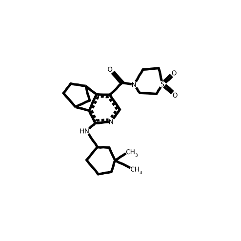 CC1(C)CCCC(Nc2ncc(C(=O)N3CCS(=O)(=O)CC3)c3c2C2CCC3C2)C1